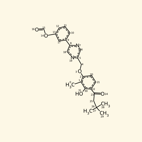 Cc1c(OCc2cnc(-c3cccc(OC=O)c3)cn2)ccc(C(=O)CC(C)(C)C)c1O